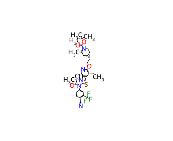 CCc1cc(N2C(=S)N(c3ccc(C#N)c(C(F)(F)F)c3)C(=O)C2(C)C)cnc1OCC[C@H]1CCN(C(=O)OC(C)(C)C)[C@@H](C)C1